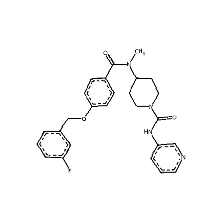 CN(C(=O)c1ccc(OCc2cccc(F)c2)cc1)C1CCN(C(=O)Nc2cccnc2)CC1